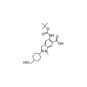 CN1c2cc(C(=O)O)c(NC(=O)OC(C)(C)C)cc2CN1C1CCC(CO)CC1